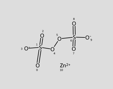 O=S(=O)([O-])OOS(=O)(=O)[O-].[Zn+2]